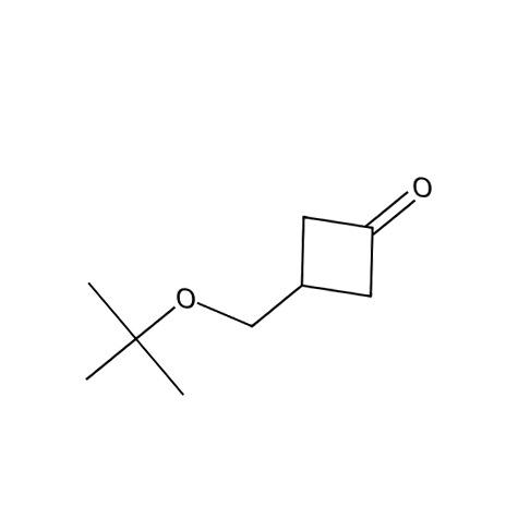 CC(C)(C)OCC1CC(=O)C1